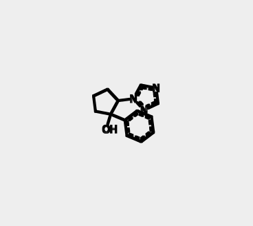 OC1(c2ccccc2)CCCC1n1cncn1